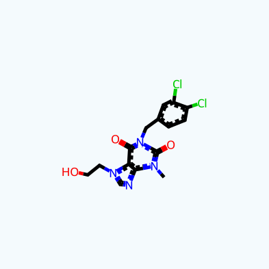 Cn1c(=O)n(Cc2ccc(Cl)c(Cl)c2)c(=O)c2c1ncn2CCO